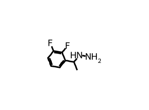 CC(NN)c1cccc(F)c1F